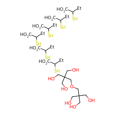 CCC(S)C(=O)O.CCC(S)C(=O)O.CCC(S)C(=O)O.CCC(S)C(=O)O.CCC(S)C(=O)O.CCC(S)C(=O)O.OCC(CO)(CO)COCC(CO)(CO)CO